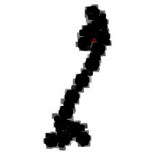 Cc1cc(C)c(-c2ccc(C(C)(C)c3ccc(OCc4ccc(COc5ccc(C(C)(C)c6ccc(-c7c(C)cc(C)c(B(c8c(C)cc(C)c(-c9cccnc9)c8C)c8c(C)cc(C)c(-c9cccnc9)c8C)c7C)cc6)cc5)cc4)cc3)cc2)c(C)c1B(c1c(C)cc(C)c(-c2cccnc2)c1C)c1c(C)cc(C)c(-c2cccnc2)c1C